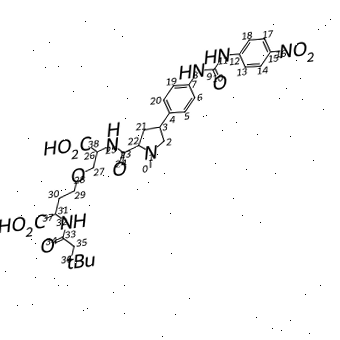 CN1CC(c2ccc(NC(=O)Nc3ccc([N+](=O)[O-])cc3)cc2)CC1C(=O)NC(COCCC(NC(=O)CC(C)(C)C)C(=O)O)C(=O)O